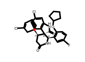 O=C1C[C@@H](C2C=CC=C(Cl)C2)[C@]2(C(=O)Nc3cc(Cl)ccc32)[C@@H](c2cc(F)ccc2OC2CCCC2)N1